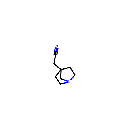 N#CCC12CCN(CC1)C2